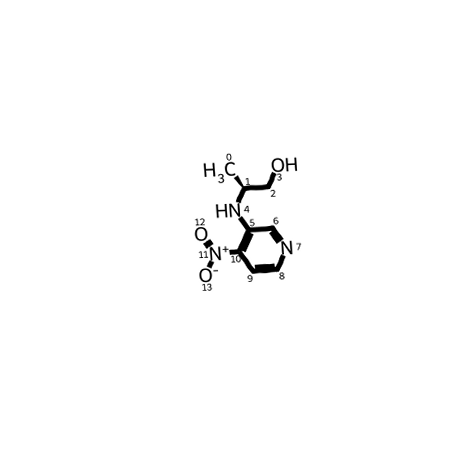 C[C@@H](CO)Nc1cnccc1[N+](=O)[O-]